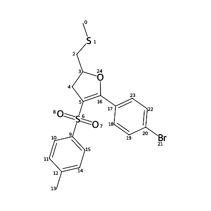 CSCC1CC(S(=O)(=O)c2ccc(C)cc2)=C(c2ccc(Br)cc2)O1